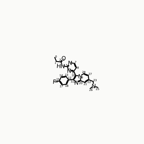 CCC(=O)Nc1nccc(-c2c(-c3ccc(F)cc3)nc3cc(CN(C)C)ccn23)n1